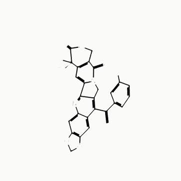 C=C(c1cccc(F)c1)c1c2c(nc3cc4c(cc13)OCO4)-c1cc3c(c(=O)n1C2)COC(=O)[C@]3(O)CC